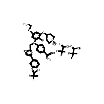 CCOc1cc(OC2CCN(C)CC2)c(F)c(N(Cc2nc(-c3ccccc3)c[nH]2)c2ccc(C(=N)N)cc2)c1.O=C(O)C(F)(F)F.O=C(O)C(F)(F)F.O=C(O)C(F)(F)F